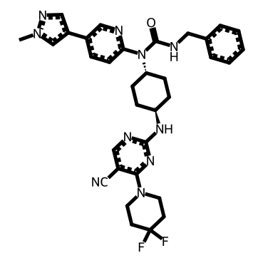 Cn1cc(-c2ccc(N(C(=O)NCc3ccccc3)[C@H]3CC[C@H](Nc4ncc(C#N)c(N5CCC(F)(F)CC5)n4)CC3)nc2)cn1